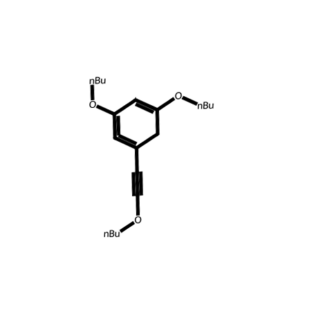 CCCCOC#CC1=C=C(OCCCC)[C]=C(OCCCC)C1